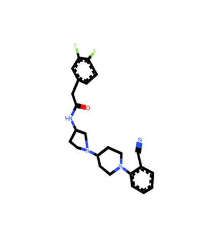 N#Cc1ccccc1N1CCC(N2CCC(NC(=O)Cc3ccc(F)c(F)c3)C2)CC1